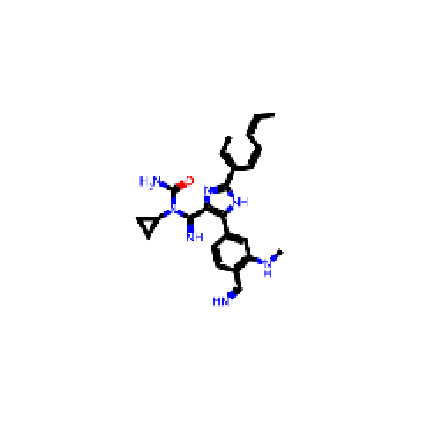 C\C=C/C=C\C(=C/C)c1nc(C(=N)N(C(N)=O)C2CC2)c(-c2ccc(C=N)c(NC)c2)[nH]1